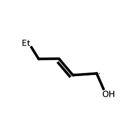 CCC/C=C/[CH]O